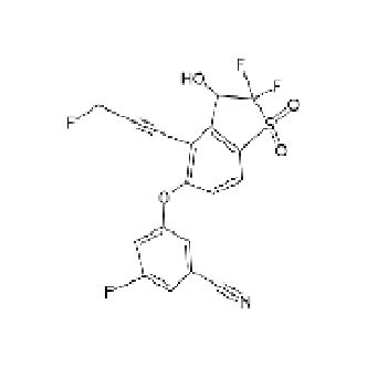 N#Cc1cc(F)cc(Oc2ccc3c(c2C#CCF)C(O)C(F)(F)S3(=O)=O)c1